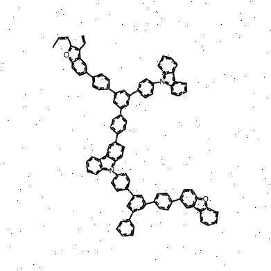 C=Cc1c(/C=C\C)oc2ccc(-c3ccc(-c4cc(-c5ccc(-c6ccc7c(c6)c6ccccc6n7-c6ccc(-c7cc(-c8ccccc8)cc(-c8ccc(-c9ccc%10oc%11ccccc%11c%10c9)cc8)c7)cc6)cc5)cc(-c5ccc(-n6c7ccccc7c7ccccc76)cc5)c4)cc3)cc12